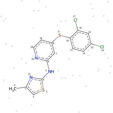 Cc1csc(Nc2cc(Sc3ccc(Cl)cc3Cl)ccn2)n1